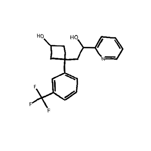 OC1CC(CC(O)c2ccccn2)(c2cccc(C(F)(F)F)c2)C1